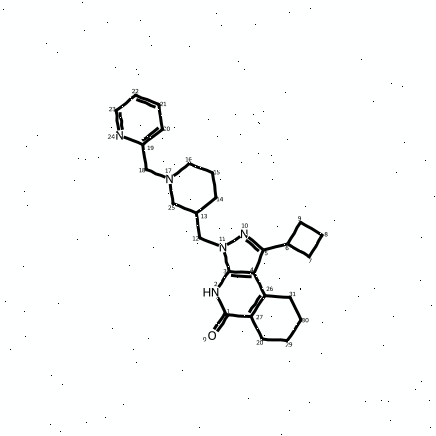 O=c1[nH]c2c(c(C3CCC3)nn2CC2CCCN(Cc3ccccn3)C2)c2c1CCCC2